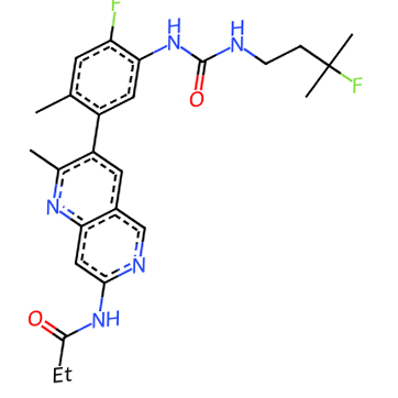 CCC(=O)Nc1cc2nc(C)c(-c3cc(NC(=O)NCCC(C)(C)F)c(F)cc3C)cc2cn1